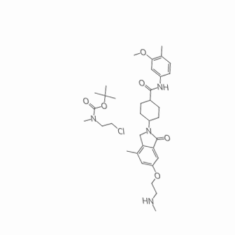 CN(CCCl)C(=O)OC(C)(C)C.CNCCOc1cc(C)c2c(c1)C(=O)N(C1CCC(C(=O)Nc3ccc(C)c(OC)c3)CC1)C2